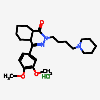 COc1ccc(C2=NN(CCCCN3CCCCC3)C(=O)C3CCCCC23)cc1OC.Cl